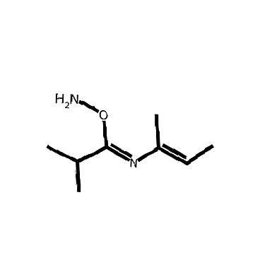 C/C=C(C)/N=C(\ON)C(C)C